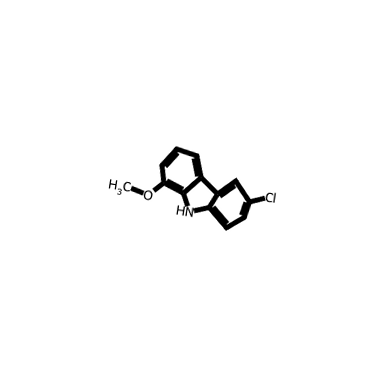 COc1cccc2c1[nH]c1ccc(Cl)cc12